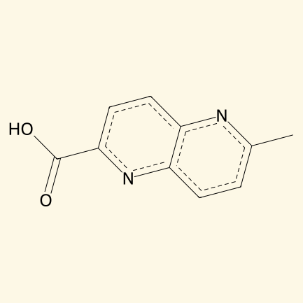 Cc1ccc2nc(C(=O)O)ccc2n1